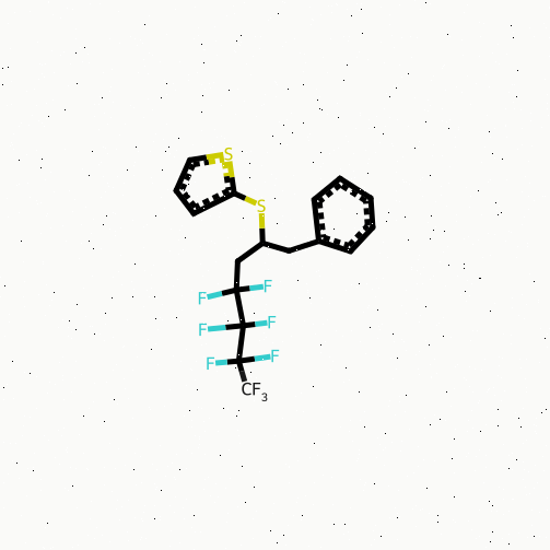 FC(F)(F)C(F)(F)C(F)(F)C(F)(F)CC(Cc1ccccc1)Sc1cccs1